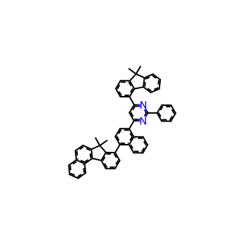 CC1(C)c2ccccc2-c2c(-c3cc(-c4ccc(-c5cccc6c5C(C)(C)c5ccc7ccccc7c5-6)c5ccccc45)nc(-c4ccccc4)n3)cccc21